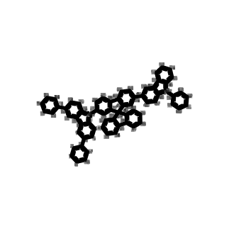 c1ccc(-c2ccc3c(c2)c2cc(-c4ccccc4)ccc2n3-c2ccc3c(c2)C2(c4ccccc4-c4ccccc42)c2cc(-c4ccc5c(c4)c4ccccc4n5-c4ccccc4)ccc2-3)cc1